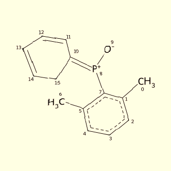 Cc1cccc(C)c1/[P+]([O-])=C1/C=CC=CC1